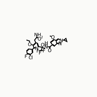 CCOc1c(CC(N)=O)cc([C@@](O)(CNC(=O)c2cc(OC)c3cn(C4CC4)nc3c2)C(F)(F)F)nc1-c1ccc(F)c(Cl)c1